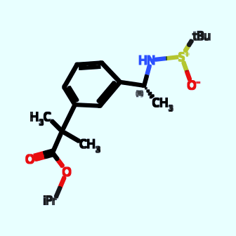 CC(C)OC(=O)C(C)(C)c1cccc([C@@H](C)N[S+]([O-])C(C)(C)C)c1